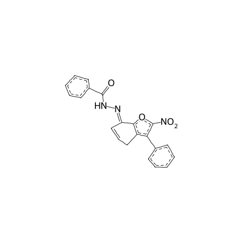 O=C(N/N=C1\C=CCc2c1oc([N+](=O)[O-])c2-c1ccccc1)c1ccccc1